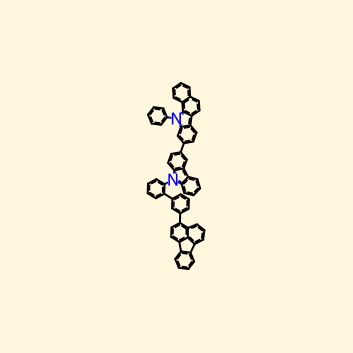 c1ccc(-n2c3cc(-c4ccc5c(c4)c4ccccc4n5-c4ccccc4-c4cccc(-c5ccc6c7c(cccc57)-c5ccccc5-6)c4)ccc3c3ccc4ccccc4c32)cc1